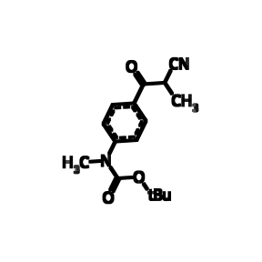 CC(C#N)C(=O)c1ccc(N(C)C(=O)OC(C)(C)C)cc1